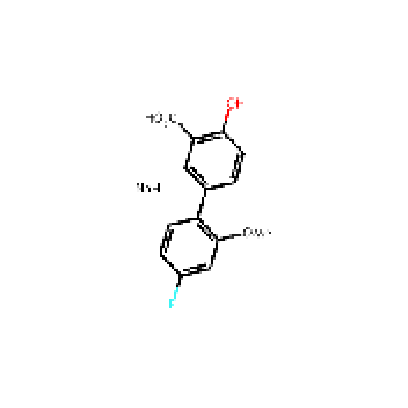 COc1cc(F)ccc1-c1ccc(O)c(C(=O)O)c1.[NaH]